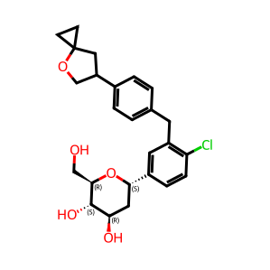 OC[C@H]1O[C@H](c2ccc(Cl)c(Cc3ccc(C4COC5(CC5)C4)cc3)c2)C[C@@H](O)[C@@H]1O